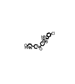 O=C(C1CCN(S(=O)(=O)c2cc3cc(Cl)ccc3[nH]2)CC1)N1CCC(c2ccc(=O)[nH]n2)CC1